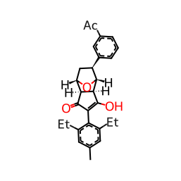 CCc1cc(C)cc(CC)c1C1=C(O)[C@@H]2[C@@H]3O[C@@H](C[C@H]3c3cccc(C(C)=O)c3)[C@@H]2C1=O